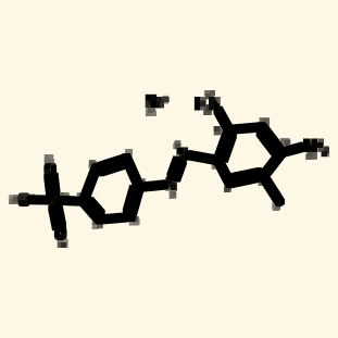 Cc1cc(/N=N/c2ccc(S(=O)(=O)[O-])cc2)c(N)cc1N.[Na+]